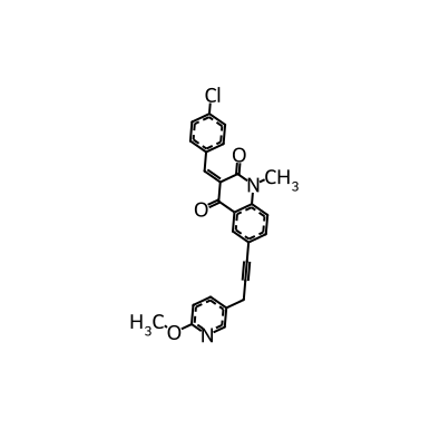 COc1ccc(CC#Cc2ccc3c(c2)C(=O)/C(=C/c2ccc(Cl)cc2)C(=O)N3C)cn1